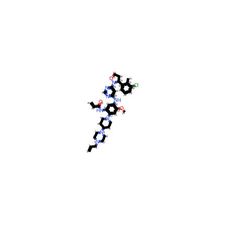 C=CCN1CCN(C2CCN(c3cc(OC)c(Nc4cc(N5OCCC5c5cccc(Cl)c5C)ncn4)cc3NC(=O)C=C)CC2)CC1